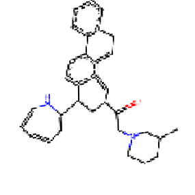 CC1CCCN(CC(=O)C2C=c3c(ccc4c3=CCc3ccccc3-4)C(C3=CC=CC=CN3)C2)C1